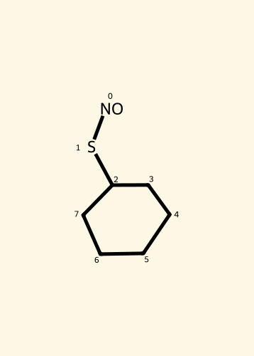 O=NSC1CCCCC1